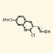 COc1ccc2cc(/C=N/O)c(Cl)nc2c1